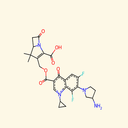 CC1(C)C(COC(=O)c2cn(C3CC3)c3c(F)c(N4CCC(N)C4)c(F)cc3c2=O)=C(C(=O)O)N2C(=O)CC21